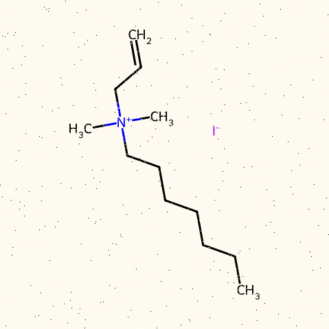 C=CC[N+](C)(C)CCCCCCC.[I-]